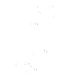 CC(C)(C)OC(=O)Nc1ccc(-c2nc(C3=CCOCC3)c3cnn(CC(F)(F)F)c3n2)cc1